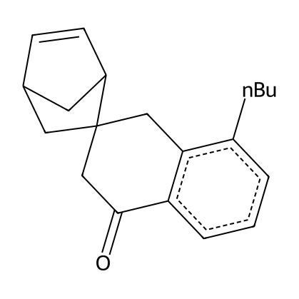 CCCCc1cccc2c1CC1(CC2=O)CC2C=CC1C2